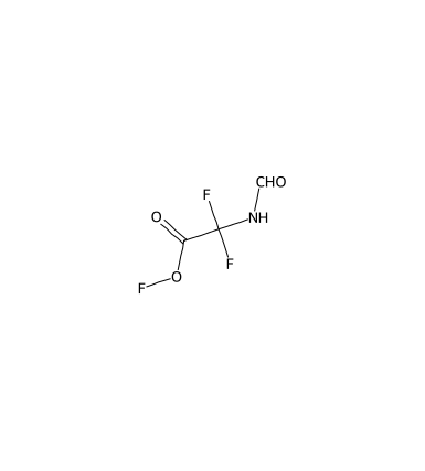 O=CNC(F)(F)C(=O)OF